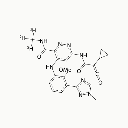 [2H]C([2H])([2H])NC(=O)c1nnc(NC(=O)C(=C=O)C2CC2)cc1Nc1cccc(-c2ncn(C)n2)c1OC